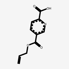 C=CCOC(=O)c1ccc(C(=O)O)nc1